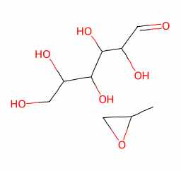 CC1CO1.O=CC(O)C(O)C(O)C(O)CO